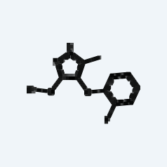 Cc1[nH]nc(OC(C)C)c1Oc1ccccc1F